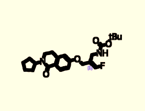 CC(C)(C)OC(=O)NC/C(=C\F)COc1ccc2c(c1)CCN(C1CCCC1)C2=O